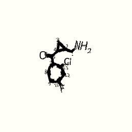 NCC1CC1C(=O)c1ccc(F)cc1Cl